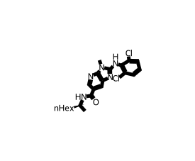 CCCCCC[C@H](C)NC(=O)c1cnc2c(c1)nc(Nc1c(Cl)cccc1Cl)n2C